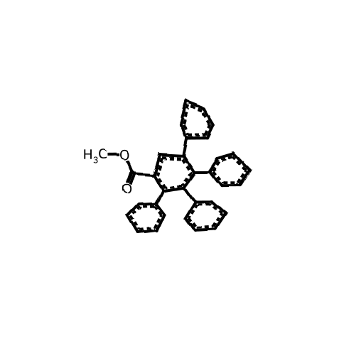 COC(=O)c1cc(-c2ccccc2)c(-c2ccccc2)c(-c2ccccc2)c1-c1ccccc1